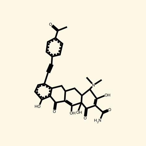 CC(=O)c1ccc(C#Cc2ccc(O)c3c2CC2CC4C(N(C)C)C(O)=C(C(N)=O)C(=O)C4(O)C(O)=C2C3=O)cc1